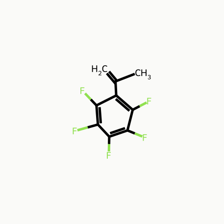 C=C(C)c1c(F)c(F)c(F)c(F)c1F